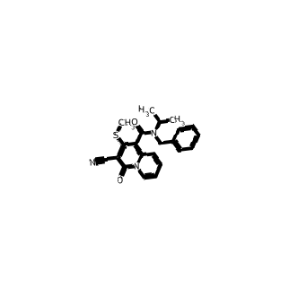 CSc1c(C#N)c(=O)n2ccccc2c1C(=O)N(Cc1ccccc1)C(C)C